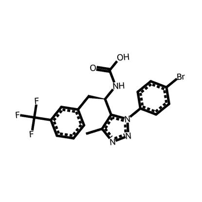 Cc1nnn(-c2ccc(Br)cc2)c1[C@@H](Cc1cccc(C(F)(F)F)c1)NC(=O)O